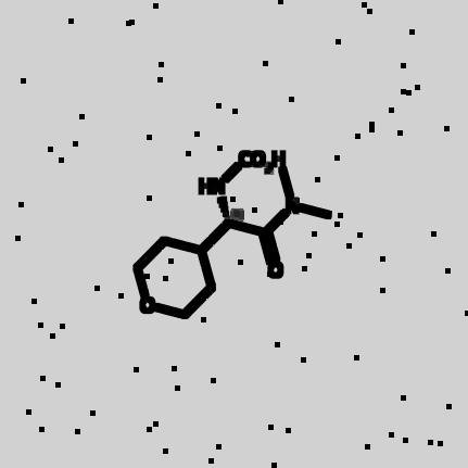 CN(C)C(=O)[C@@H](NC(=O)O)C1CCOCC1